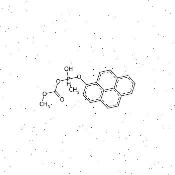 COC(=O)O[PH](C)(O)Oc1ccc2ccc3cccc4ccc1c2c34